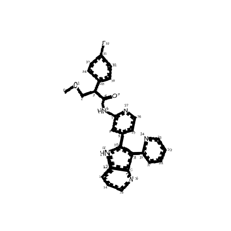 COCC(C(=O)Nc1cc(-c2[nH]c3cccnc3c2-c2ccccn2)ccn1)c1ccc(F)cc1